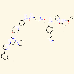 Cc1cccc(-c2ccn(-c3cc(N4CCOCC4)nc(OC4CCN(c5ccc(NC(=O)NC6CCN(C(=O)C[C@H](NC(=O)[C@@H]7C[C@@H](O)CN7C(=O)[C@@H](NC(=O)C7(F)CC7)C(C)(C)C)c7ccc(-c8scnc8C)cc7)CC6)cc5)CC4)n3)n2)c1